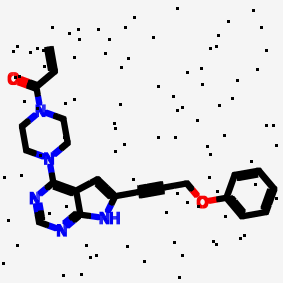 C=CC(=O)N1CCN(c2ncnc3[nH]c(C#CCOc4ccccc4)cc23)CC1